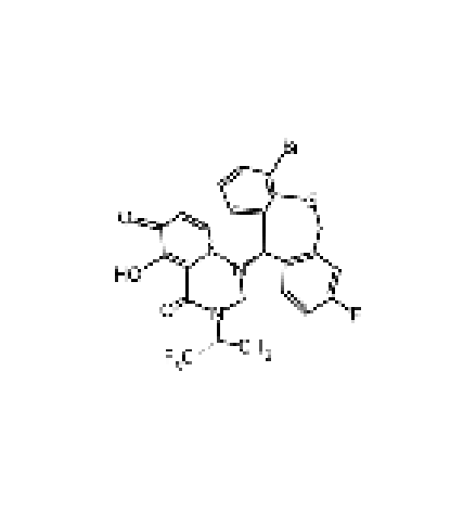 C[C@@H](N1CN([C@@H]2c3ccc(F)cc3CSc3c(Br)cccc32)n2ccc(=O)c(O)c2C1=O)C(F)(F)F